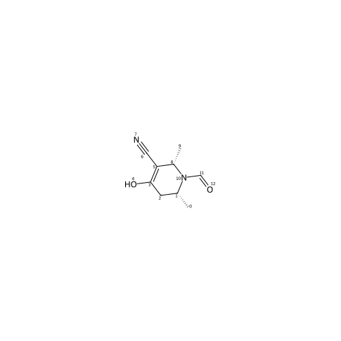 C[C@@H]1CC(O)=C(C#N)[C@H](C)N1C=O